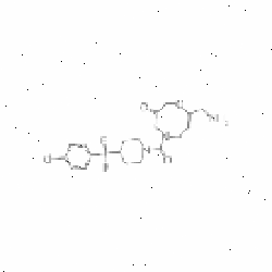 NCC1CCN(C(=O)N2CCC(C(F)(F)c3ccc(Cl)cc3)CC2)CC(=O)CO1